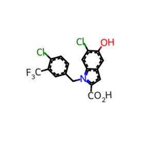 O=C(O)c1cc2cc(O)c(Cl)cc2n1Cc1ccc(Cl)c(C(F)(F)F)c1